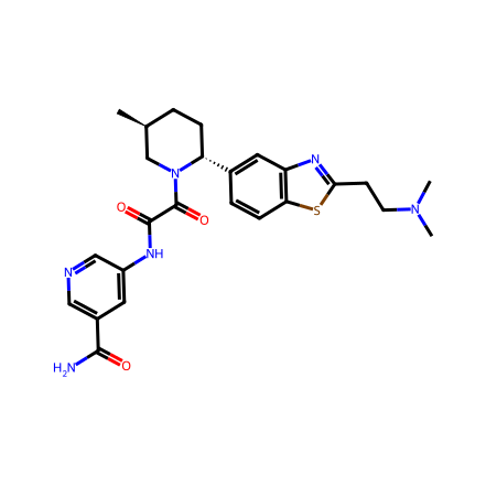 C[C@H]1CC[C@H](c2ccc3sc(CCN(C)C)nc3c2)N(C(=O)C(=O)Nc2cncc(C(N)=O)c2)C1